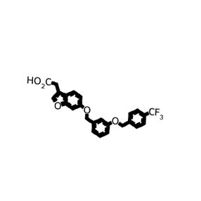 O=C(O)Cc1coc2cc(OCc3cccc(OCc4ccc(C(F)(F)F)cc4)c3)ccc12